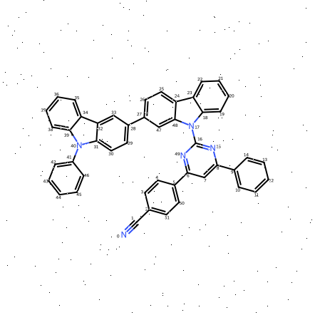 N#Cc1ccc(-c2cc(-c3ccccc3)nc(-n3c4ccccc4c4ccc(-c5ccc6c(c5)c5ccccc5n6-c5ccccc5)cc43)n2)cc1